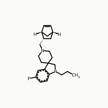 CCCN1CC2(CCN(C[C@H]3C[C@H]4C=C[C@@H]3C4)CC2)c2cc(F)ccc21